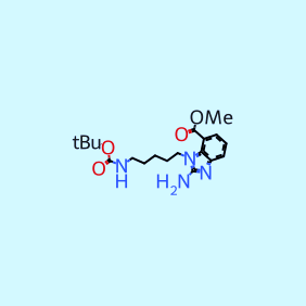 COC(=O)c1cccc2nc(N)n(CCCCCNC(=O)OC(C)(C)C)c12